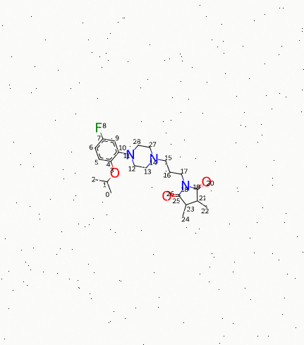 CC(C)Oc1ccc(F)cc1N1CCN(CCCN2C(=O)C(C)C(C)C2=O)CC1